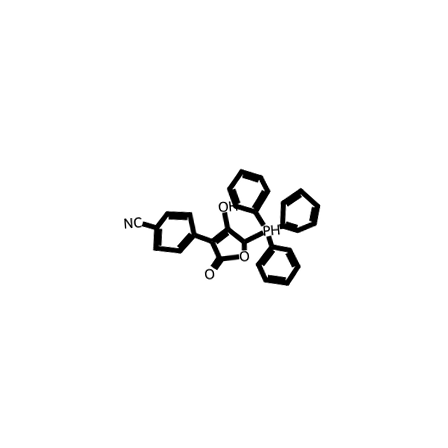 N#Cc1ccc(C2=C(O)C([PH](c3ccccc3)(c3ccccc3)c3ccccc3)OC2=O)cc1